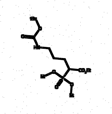 CCOC(=O)C(CCCNC(=O)OC(C)(C)C)P(=O)(OCC)OCC